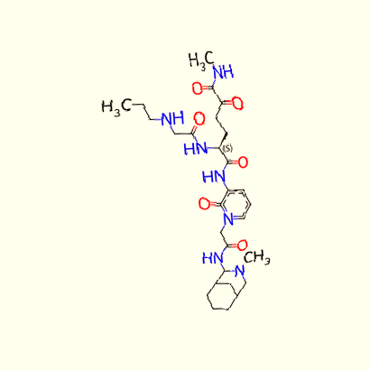 CCCNCC(=O)N[C@@H](CCC(=O)C(=O)NC)C(=O)Nc1cccn(CC(=O)NC2C3CCCC(C3)CN2C)c1=O